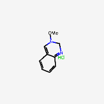 CON1C=c2ccccc2=NC1.Cl